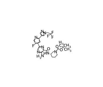 CC(C)(C)OC(=O)N1CCC[C@H](NC(=O)c2nc(-c3cc(-c4cnn(CC(F)(F)F)c4)ncc3F)cnc2N)C1